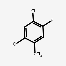 Fc1cc(C(Cl)(Cl)Cl)c(Cl)cc1Cl